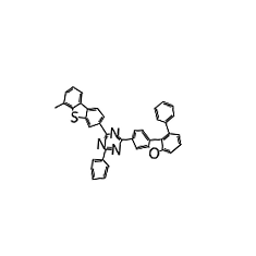 Cc1cccc2c1sc1cc(-c3nc(-c4ccccc4)nc(-c4ccc5c(c4)oc4cccc(-c6ccccc6)c45)n3)ccc12